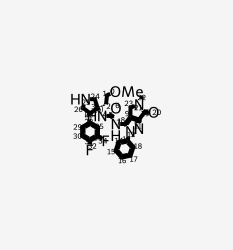 COCC[C@@]1(NC(=O)Nc2c3c(nn2-c2ccccc2)C(=O)N(C)C3)CNC[C@H]1c1ccc(F)c(F)c1